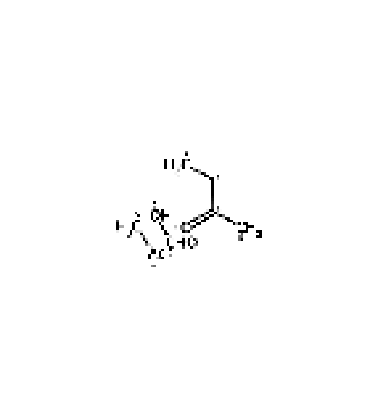 CC(C)=O.CCC(C)=O.O=CO